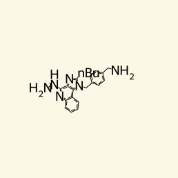 CCCCc1nc2c(NN)nc3ccccc3c2n1Cc1ccc(CN)cc1